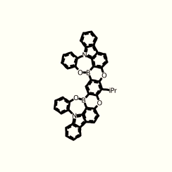 CC(C)c1c2c(cc3c1Oc1ccc4c5ccccc5n5c4c1B3Oc1ccccc1-5)B1Oc3ccccc3-n3c4ccccc4c4ccc(c1c43)O2